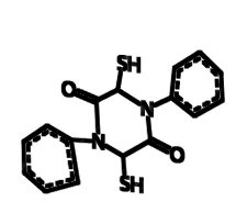 O=C1C(S)N(c2ccccc2)C(=O)C(S)N1c1ccccc1